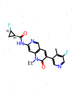 CCn1c(=O)c(-c2cncc(F)c2C)cc2cnc(NC(=O)[C@H]3C[C@H]3F)cc21